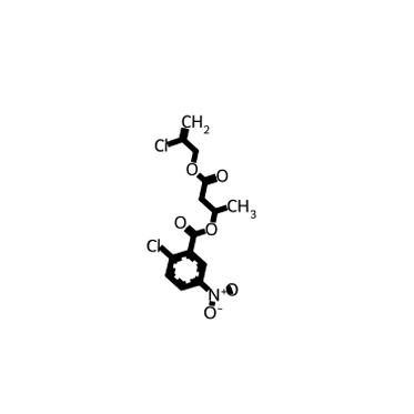 C=C(Cl)COC(=O)CC(C)OC(=O)c1cc([N+](=O)[O-])ccc1Cl